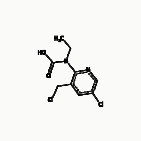 CCN(C(=O)O)c1ncc(Cl)cc1CCl